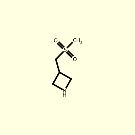 CS(=O)(=O)CC1CNC1